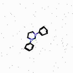 c1ccc(N2CCCN(c3ccccc3)C2)cc1